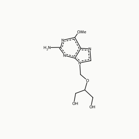 COc1nc(N)nc2c1ncn2COC(CO)CO